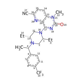 CCC1CN(C(C)c2ccc(C(F)(F)F)cc2)[C@H](CC)CN1c1nc(=O)n(C)c2ccc(C#N)nc12